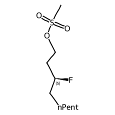 CCCCCC[C@H](F)CCOS(C)(=O)=O